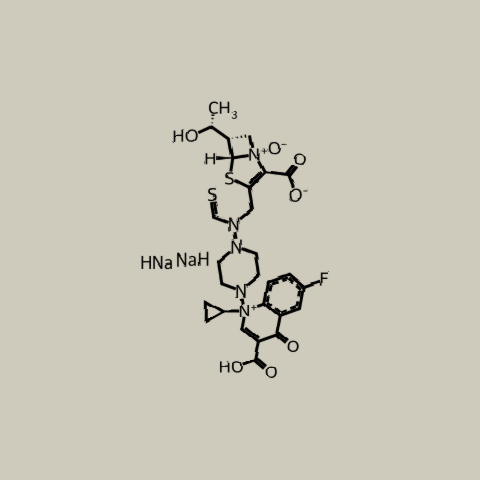 C[C@@H](O)[C@@H]1C[N+]2([O-])C(C(=O)[O-])=C(CN(C=S)N3CCN([N+]4(C5CC5)C=C(C(=O)O)C(=O)c5cc(F)ccc54)CC3)S[C@H]12.[NaH].[NaH]